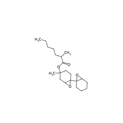 CCCCCC(C)C(=O)OC1(C)CCC2(C34CCCCC3O4)OC2C1